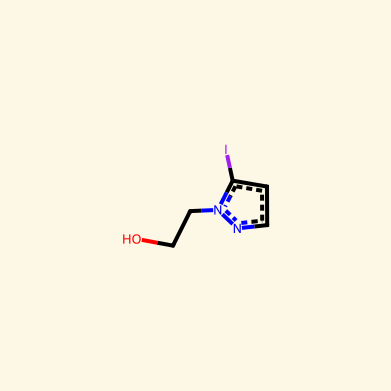 OCCn1nccc1I